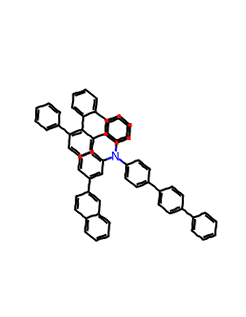 c1ccc(-c2ccc(-c3ccc(N(c4cccc(-c5ccc6ccccc6c5)c4)c4ccccc4-c4cccc(-c5ccccc5)c4-c4ccccc4-c4ccccc4)cc3)cc2)cc1